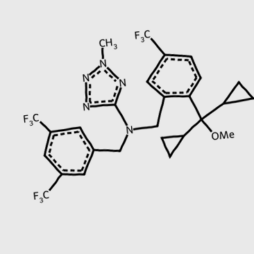 COC(c1ccc(C(F)(F)F)cc1CN(Cc1cc(C(F)(F)F)cc(C(F)(F)F)c1)c1nnn(C)n1)(C1CC1)C1CC1